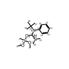 CO[Si](C)(OC)OC(N(c1ccccc1)C(C)(C)C)[SiH](C)C